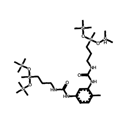 Cc1ccc(NC(=O)NCCC[Si](C)(O[Si](C)(C)C)O[Si](C)(C)C)cc1NC(=O)NCCC[Si](C)(O[SiH](C)C)O[Si](C)(C)C